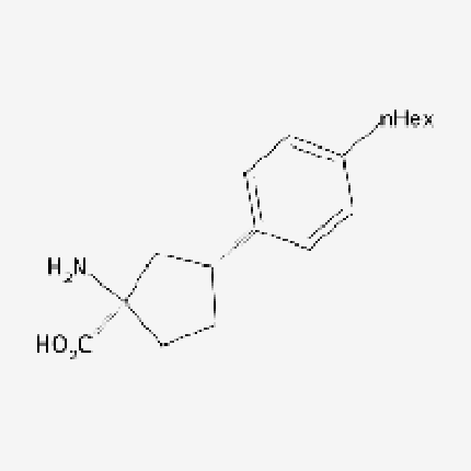 CCCCCCc1ccc([C@@H]2CC[C@](N)(C(=O)O)C2)cc1